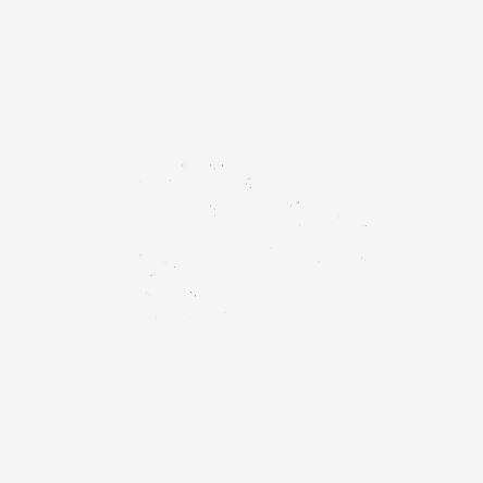 CC(C)N1CCN(C)c2c(F)cc(-c3nc(Nc4nc(C5CCNCC5)cs4)ncc3F)cc21